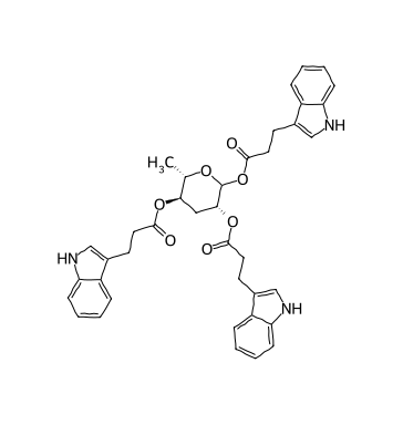 C[C@@H]1OC(OC(=O)CCc2c[nH]c3ccccc23)[C@H](OC(=O)CCc2c[nH]c3ccccc23)C[C@H]1OC(=O)CCc1c[nH]c2ccccc12